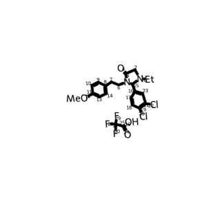 CCN1CC(=O)N(CCc2ccc(OC)cc2)C1c1ccc(Cl)c(Cl)c1.O=C(O)C(F)(F)F